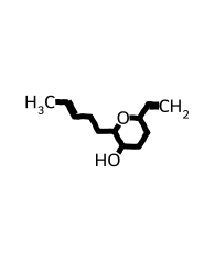 C=CC1CCC(O)C(CCC=CC)O1